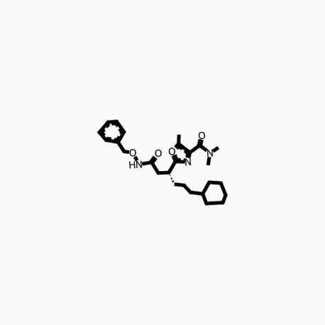 Cc1oc([C@H](CCCC2CCCCC2)CC(=O)NOCc2ccccc2)nc1C(=O)N(C)C